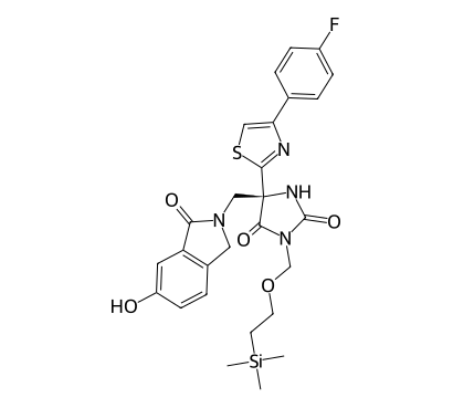 C[Si](C)(C)CCOCN1C(=O)N[C@@](CN2Cc3ccc(O)cc3C2=O)(c2nc(-c3ccc(F)cc3)cs2)C1=O